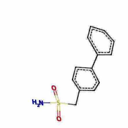 NS(=O)(=O)Cc1ccc(-c2ccccc2)cc1